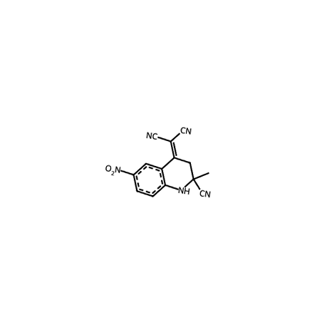 CC1(C#N)CC(=C(C#N)C#N)c2cc([N+](=O)[O-])ccc2N1